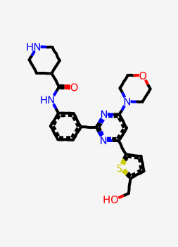 O=C(Nc1cccc(-c2nc(-c3ccc(CO)s3)cc(N3CCOCC3)n2)c1)C1CCNCC1